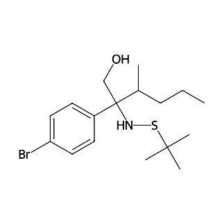 CCCC(C)C(CO)(NSC(C)(C)C)c1ccc(Br)cc1